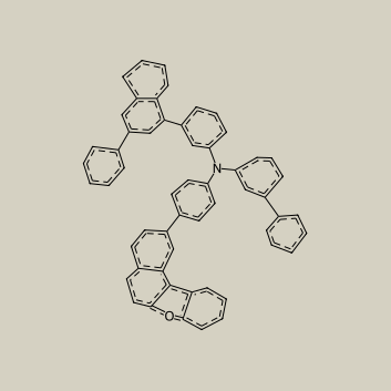 c1ccc(-c2cccc(N(c3ccc(-c4ccc5ccc6oc7ccccc7c6c5c4)cc3)c3cccc(-c4cc(-c5ccccc5)cc5ccccc45)c3)c2)cc1